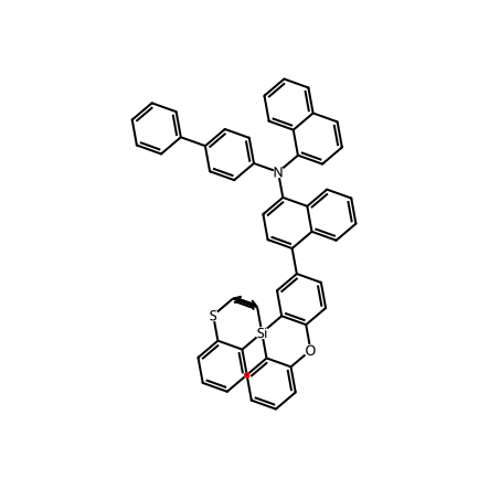 c1ccc(-c2ccc(N(c3cccc4ccccc34)c3ccc(-c4ccc5c(c4)[Si]4(c6ccccc6O5)c5ccccc5Sc5ccccc54)c4ccccc34)cc2)cc1